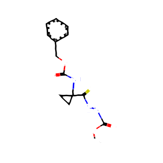 CC(C)(C)OC(=O)NNC(=S)C1(NC(=O)OCc2ccccc2)CC1